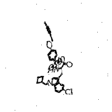 CC#CCOc1ccc(S(=O)(=O)N[C@@H](Cc2cn(CC3CCC3)c3ccc(Cl)cc23)C(=O)O)cc1